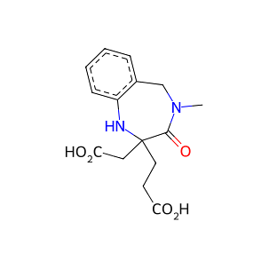 CN1Cc2ccccc2NC(CCC(=O)O)(CC(=O)O)C1=O